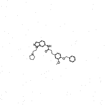 COc1cc(CCC(=O)Nc2ccc3cnn(CCN4CCCC4)c3c2)ccc1OCc1ccccc1